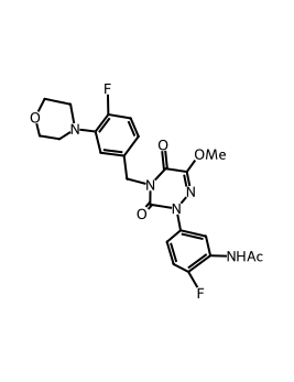 COc1nn(-c2ccc(F)c(NC(C)=O)c2)c(=O)n(Cc2ccc(F)c(N3CCOCC3)c2)c1=O